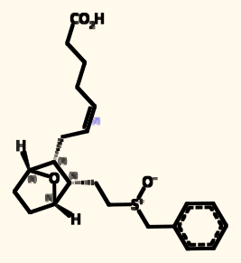 O=C(O)CCC/C=C\C[C@@H]1[C@H](CC[S+]([O-])Cc2ccccc2)[C@@H]2CC[C@H]1O2